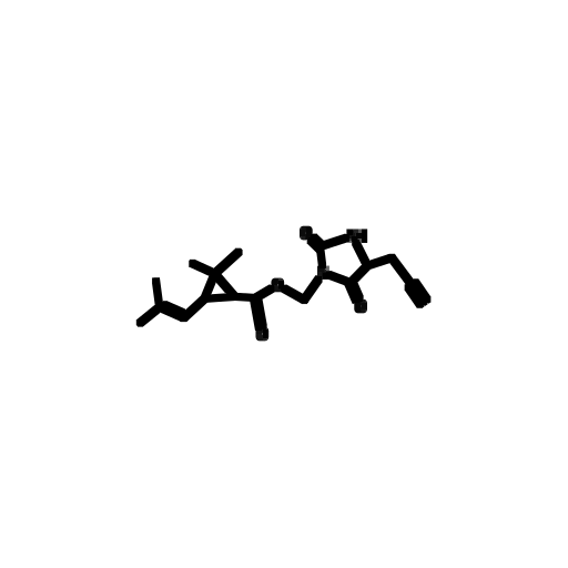 C#CCC1NC(=O)N(COC(=O)C2C(C=C(C)C)C2(C)C)C1=O